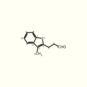 Cc1c(CCC=O)sc2ccccc12